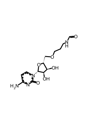 Nc1ccn([C@@H]2O[C@H](COCCCNC=O)[C@@H](O)[C@H]2O)c(=O)n1